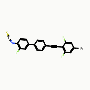 CCCc1cc(F)c(C#Cc2ccc(-c3ccc(N=C=S)c(F)c3)cc2)c(F)c1